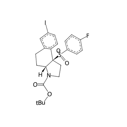 CC(C)(C)OC(=O)N1CC[C@@]2(S(=O)(=O)c3ccc(F)cc3)c3ccc(I)cc3CC[C@@H]12